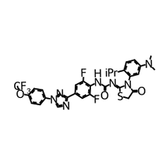 CC(C)c1ccc(N(C)C)cc1N1C(=O)CSC1=NC(=O)Nc1c(F)cc(-c2ncn(-c3ccc(OC(F)(F)F)cc3)n2)cc1F